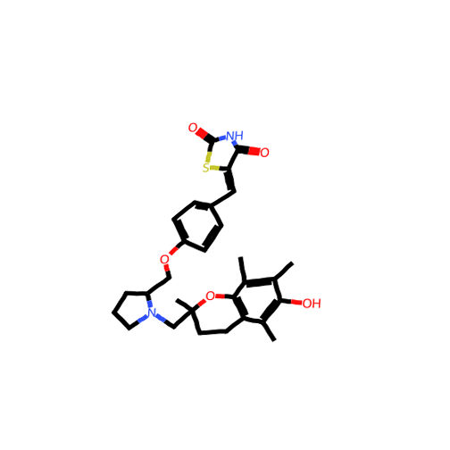 Cc1c(C)c2c(c(C)c1O)CCC(C)(CN1CCCC1COc1ccc(C=C3SC(=O)NC3=O)cc1)O2